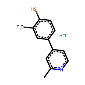 Cc1cc(-c2ccc(S)c(C(F)(F)F)c2)ccn1.Cl